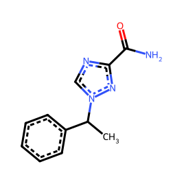 CC(c1ccccc1)n1cnc(C(N)=O)n1